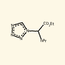 CCCC(C(=O)OCC)n1cnnn1